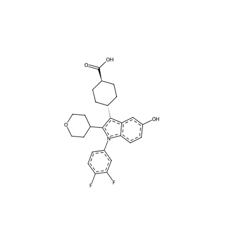 O=C(O)[C@H]1CC[C@H](c2c(C3CCOCC3)n(-c3ccc(F)c(F)c3)c3ccc(O)cc32)CC1